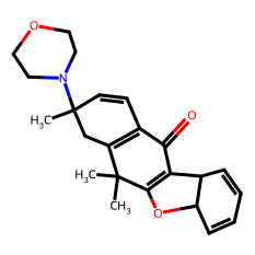 CC1(C)C2=C(C=CC(C)(N3CCOCC3)C2)C(=O)C2=C1OC1C=CC=CC21